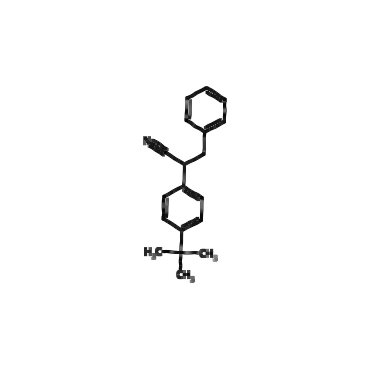 CC(C)(C)c1ccc(C(C#N)Cc2ccccc2)cc1